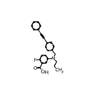 CCCN(Cc1ccc(C#Cc2ccccc2)cc1)c1ccc(F)c(C(=O)O)c1